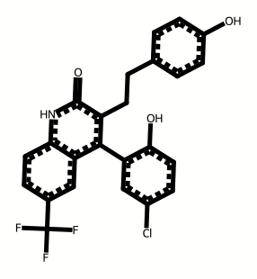 O=c1[nH]c2ccc(C(F)(F)F)cc2c(-c2cc(Cl)ccc2O)c1CCc1ccc(O)cc1